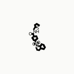 O=C(NCc1cccs1)c1ccc(S(=O)(=O)N2CCCc3ccccc32)cc1